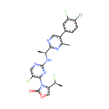 Cc1nc([C@H](C)Nc2ncc(F)c(-n3c([C@H](C)F)coc3=O)n2)ncc1-c1ccc(Cl)c(F)c1